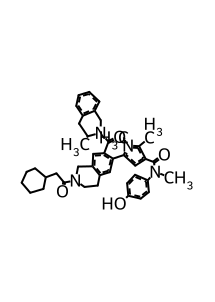 Cc1c(C(=O)N(C)c2ccc(O)cc2)cc(-c2cc3c(cc2C(=O)N2Cc4ccccc4C[C@H]2C)CN(C(=O)CC2CCCCC2)CC3)n1C